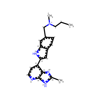 CCCN(C)Cc1ccc2cc(-c3ccnc4[nH]c(C)nc34)[nH]c2c1